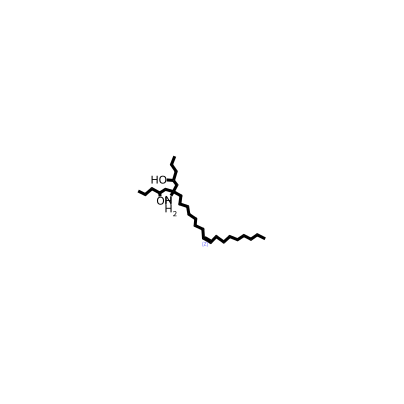 CCCCCCCC/C=C\CCCCCCCC(N)(CC(O)CCC)CC(O)CCC